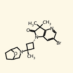 CC1(C)C(=O)N([C@H]2C[C@@](C)(N3CC4CCC(C3)O4)C2)c2cc(Br)cnc21